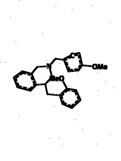 COc1ccc(CN2Cc3ccccc3C(Cc3ccccc3OC)C2)cc1